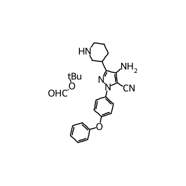 CC(C)(C)OC=O.N#Cc1c(N)c(C2CCCNC2)nn1-c1ccc(Oc2ccccc2)cc1